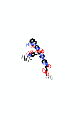 CCOC(=O)CCC(=O)N1CCC(N2CCN(C(=O)[C@@H](Cc3cc(C)c4c(c3)oc(=O)n4C)OC(=O)N3CCC(N4CCc5ccccc5NC4=O)CC3)CC2)CC1